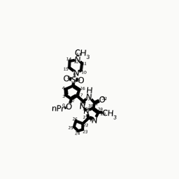 CCCOc1ccc(S(=O)(=O)N2CCN(C)CC2)cc1-c1nn2c(C3CCCC3)nc(C)c2c(=O)[nH]1